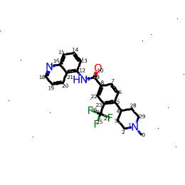 CN1CCC(c2ccc(C(=O)Nc3cccc4ncccc34)cc2C(F)(F)F)CC1